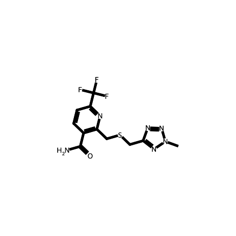 Cn1nnc(CSCc2nc(C(F)(F)F)ccc2C(N)=O)n1